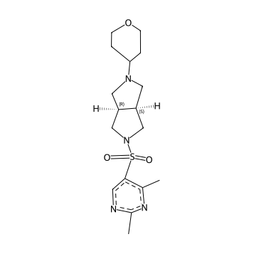 Cc1ncc(S(=O)(=O)N2C[C@H]3CN(C4CCOCC4)C[C@H]3C2)c(C)n1